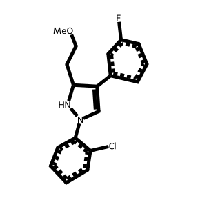 COCCC1NN(c2ccccc2Cl)C=C1c1cccc(F)c1